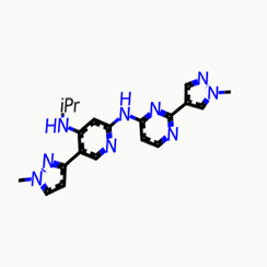 CC(C)Nc1cc(Nc2ccnc(-c3cnn(C)c3)n2)ncc1-c1ccn(C)n1